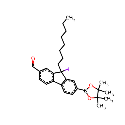 CCCCCCCCC1(I)c2cc(C=O)ccc2-c2ccc(B3OC(C)(C)C(C)(C)O3)cc21